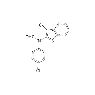 O=CN(c1ccc(Cl)cc1)c1sc2ccccc2c1Cl